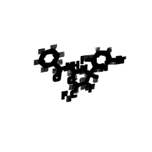 C[C@]1(c2nc(Br)ccc2F)N=C(NC(=O)c2ccccc2)O[C@H](C(F)(F)F)[C@@H]1F